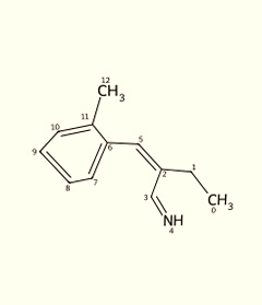 CC/C(C=N)=C/c1ccccc1C